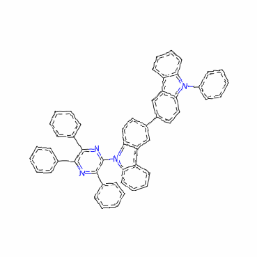 c1ccc(-c2nc(-c3ccccc3)c(-n3c4ccccc4c4cc(-c5ccc6c(c5)c5ccccc5n6-c5ccccc5)ccc43)nc2-c2ccccc2)cc1